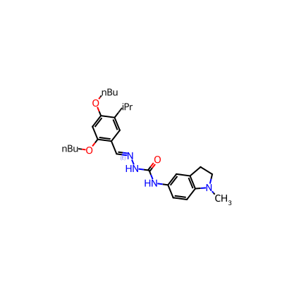 CCCCOc1cc(OCCCC)c(C(C)C)cc1/C=N/NC(=O)Nc1ccc2c(c1)CCN2C